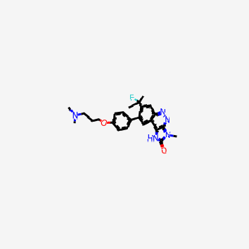 CN(C)CCCOc1ccc(-c2cc3c(cc2C(C)(C)F)nnc2c3[nH]c(=O)n2C)cc1